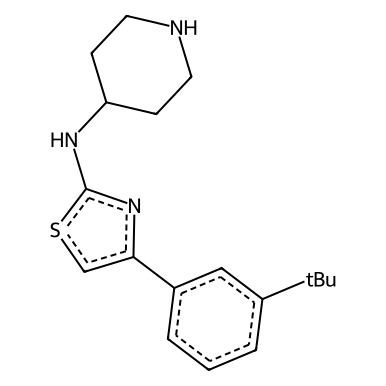 CC(C)(C)c1cccc(-c2csc(NC3CCNCC3)n2)c1